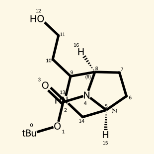 CC(C)(C)OC(=O)N1[C@H]2CC[C@@H]1C(CCO)NC2